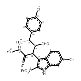 CCOC(=O)c1[nH]c2cc(Cl)ccc2c1C(C(=O)NC(C)(C)C)N(C=O)[C@H](C)c1ccc(Cl)cc1